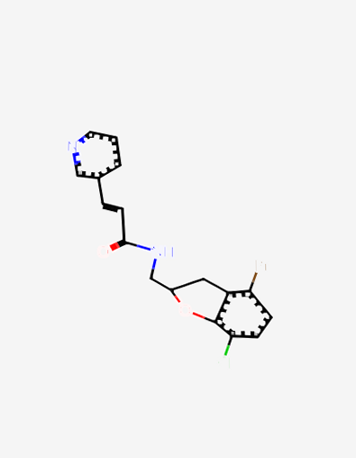 O=C(C=Cc1cccnc1)NCC1Cc2c(Br)ccc(Cl)c2O1